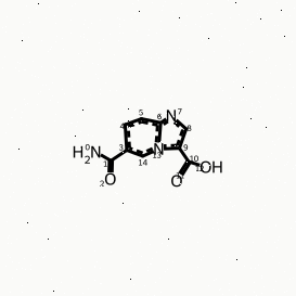 NC(=O)c1ccc2ncc(C(=O)O)n2c1